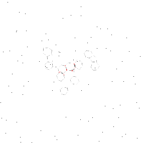 c1ccc(-c2ccccc2-c2c(-c3ccccc3)cccc2N(c2ccc(-c3cccc4c3sc3ccccc34)cc2)c2ccc(-c3cccc4sc5ccccc5c34)cc2)cc1